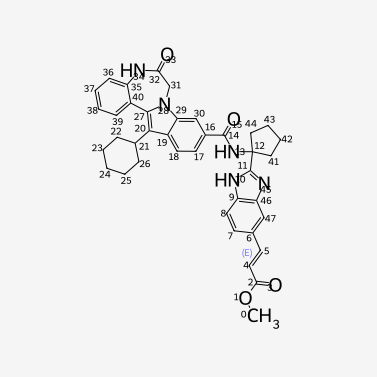 COC(=O)/C=C/c1ccc2[nH]c(C3(NC(=O)c4ccc5c(C6CCCCC6)c6n(c5c4)CC(=O)Nc4ccccc4-6)CCCC3)nc2c1